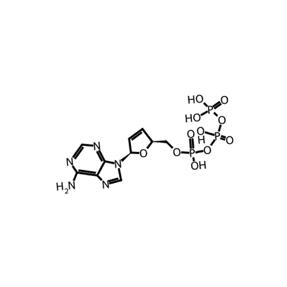 Nc1ncnc2c1ncn2[C@H]1C=C[C@@H](COP(=O)(O)OP(=O)(O)OP(=O)(O)O)O1